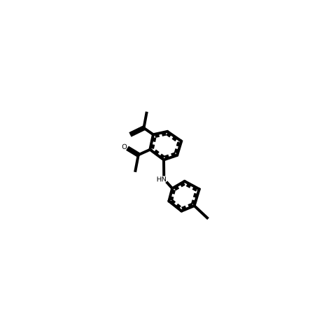 C=C(C)c1cccc(Nc2ccc(C)cc2)c1C(C)=O